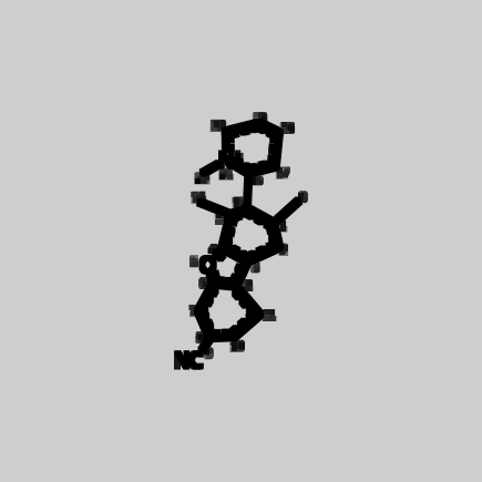 Cc1cc2c(oc3cc(C#N)ccc32)c(C)c1-c1cccc[n+]1C